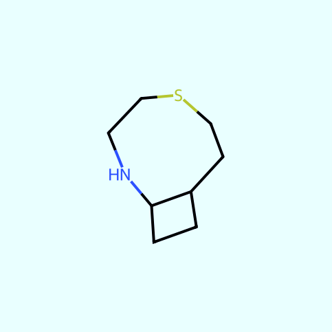 C1CSCCC2CCC2N1